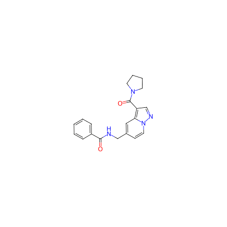 O=C(NCc1ccn2ncc(C(=O)N3CCCC3)c2c1)c1ccccc1